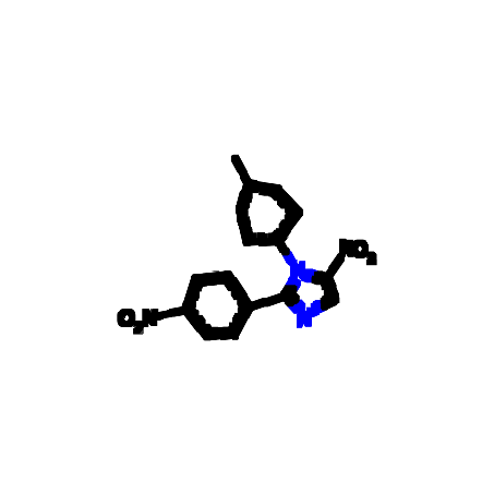 Cc1ccc(-n2c([N+](=O)[O-])cnc2-c2ccc([N+](=O)[O-])cc2)cc1